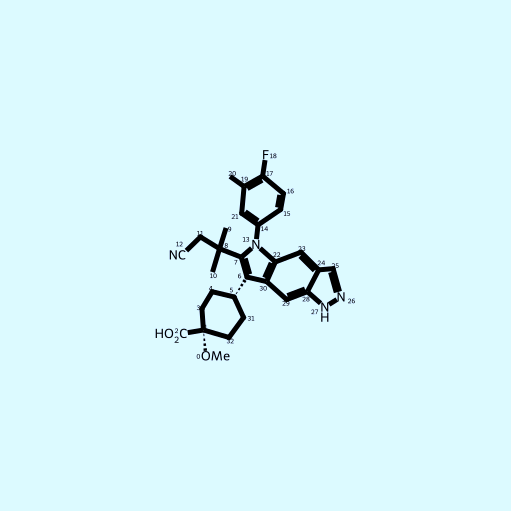 CO[C@]1(C(=O)O)CC[C@H](c2c(C(C)(C)CC#N)n(-c3ccc(F)c(C)c3)c3cc4cn[nH]c4cc32)CC1